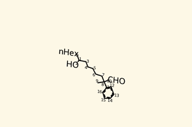 CCCCCCC(O)CCCCCC(C)(C=O)c1ccccc1